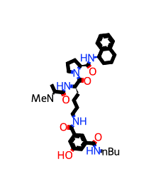 CCCCNC(=O)c1cc(O)cc(C(=O)NCCCC[C@H](NC(=O)[C@H](C)NC)C(=O)N2CCC[C@H]2C(=O)N[C@@H]2CCCc3ccccc32)c1